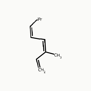 C=CC(C)=C/C=C\C(C)C